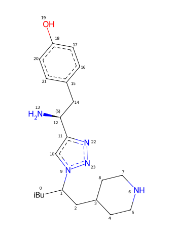 CCC(C)C(CC1CCNCC1)n1cc([C@@H](N)Cc2ccc(O)cc2)nn1